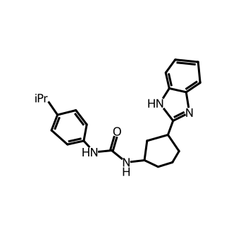 CC(C)c1ccc(NC(=O)NC2CCCC(c3nc4ccccc4[nH]3)C2)cc1